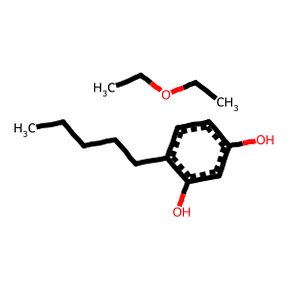 CCCCCc1ccc(O)cc1O.CCOCC